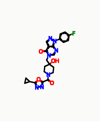 O=C(c1nnc(C2CC2)o1)N1CCC(O)(Cn2cnc3c(cnn3-c3ccc(F)cc3)c2=O)CC1